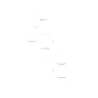 CC(=O)Nc1ccc(S(=O)(=O)c2ccc(Cl)cc2C)cc1N